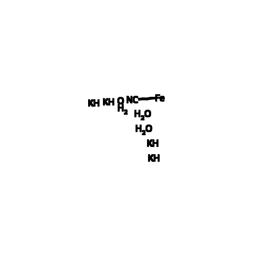 N#[C][Fe].O.O.O.[KH].[KH].[KH].[KH]